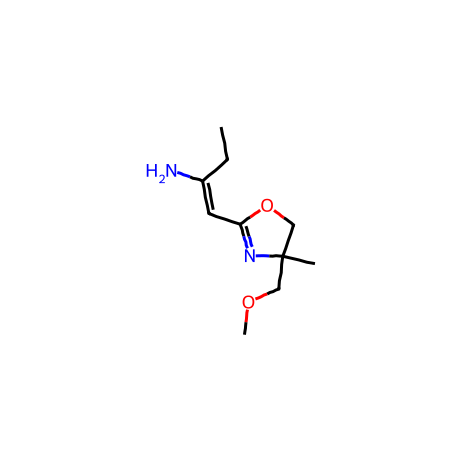 CC/C(N)=C\C1=NC(C)(COC)CO1